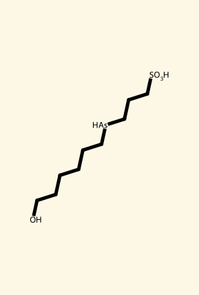 O=S(=O)(O)CCC[AsH]CCCCCCO